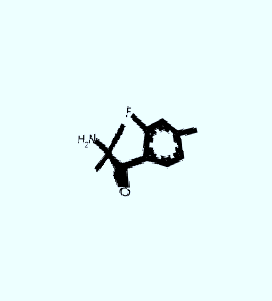 Cc1ccc(C(=O)C(C)(C)N)c(F)c1